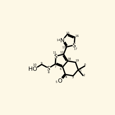 CC1(C)CC(=O)c2c(SCO)sc(-c3nccs3)c2C1